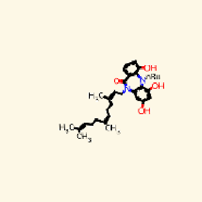 CCCCN1c2c(O)cccc2C(=O)N(CC=C(C)CCC=C(C)CCC=C(C)C)c2cc(O)cc(O)c21